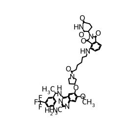 COc1cc2nc(C)nc(N[C@H](C)c3cc(N)cc(C(F)(F)F)c3)c2cc1O[C@H]1CCN(C(=O)CCCCCNc2cccc3c2C(=O)N(C2CCC(=O)NC2=O)C3=O)C1